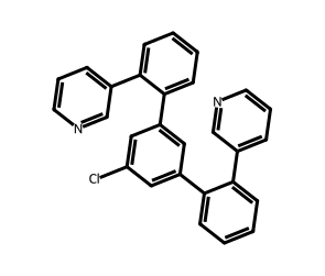 Clc1cc(-c2ccccc2-c2cccnc2)cc(-c2ccccc2-c2cccnc2)c1